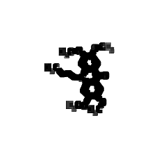 CCCCn1c2cc(OC)c(OC)cc2c(=O)c2cc(OC)c(OC)cc21